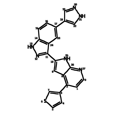 c1cc(-c2ccsc2)c2cc(-c3n[nH]c4ccc(-c5cn[nH]c5)cc34)[nH]c2n1